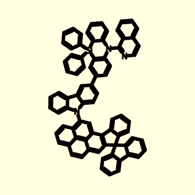 c1ccc([Si]2(c3ccccc3)c3ccccc3N(c3nccc4ccccc34)c3ccc(-c4ccc5c(c4)c4ccccc4n5-c4cc5c6c(cc7ccc8cccc4c8c75)C4(c5ccccc5-c5ccccc54)c4ccccc4-6)cc32)cc1